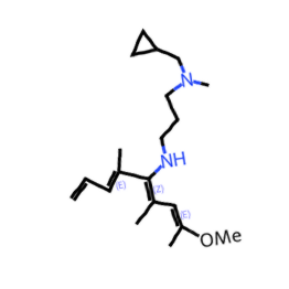 C=C/C=C(C)/C(NCCCN(C)CC1CC1)=C(C)/C=C(\C)OC